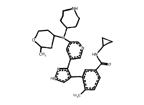 Cc1ccc(C(=O)NC2CC2)cc1-c1c[nH]nc1-c1cncc(N(C2CCNCC2)C2CCOC(C)C2)c1